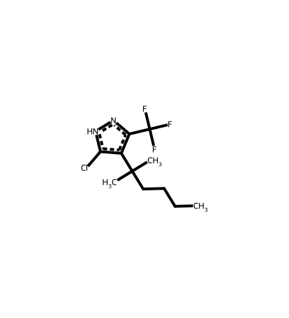 CCCCC(C)(C)c1c(C(F)(F)F)n[nH]c1Cl